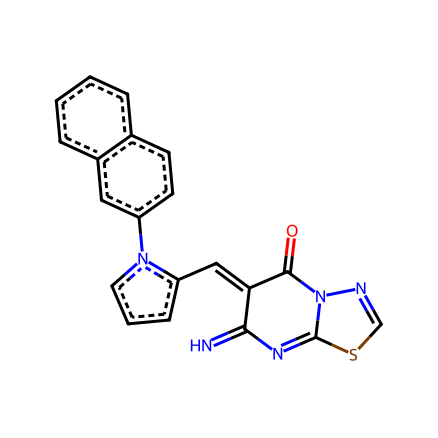 N=C1N=C2SC=NN2C(=O)C1=Cc1cccn1-c1ccc2ccccc2c1